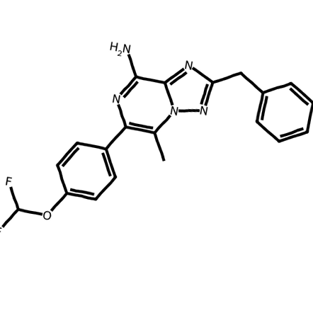 Cc1c(-c2ccc(OC(F)F)cc2)nc(N)c2nc(Cc3ccccc3)nn12